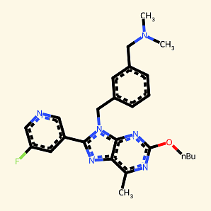 CCCCOc1nc(C)c2nc(-c3cncc(F)c3)n(Cc3cccc(CN(C)C)c3)c2n1